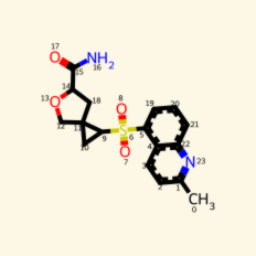 Cc1ccc2c(S(=O)(=O)C3CC34COC(C(N)=O)C4)cccc2n1